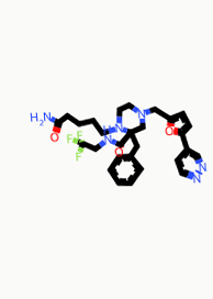 NC(=O)CCCCN1CCN(Cc2ccc(-c3ccnnc3)o2)CC1(Cc1ccccc1)C(=O)NCC(F)(F)F